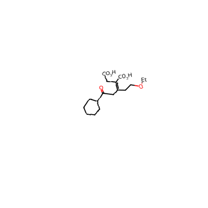 CCOCCC(CC(=O)C1CCCCC1)=C(CC(=O)O)C(=O)O